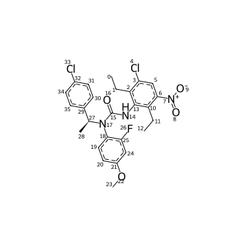 CCc1c(Cl)cc([N+](=O)[O-])c(CC)c1NC(=O)N(c1ccc(OC)cc1F)[C@@H](C)c1ccc(Cl)cc1